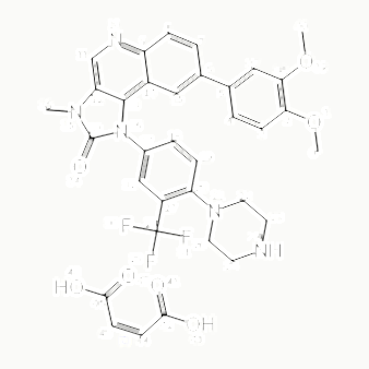 COc1ccc(-c2ccc3ncc4c(c3c2)n(-c2ccc(N3CCNCC3)c(C(F)(F)F)c2)c(=O)n4C)cc1OC.O=C(O)/C=C\C(=O)O